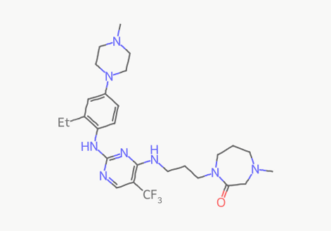 CCc1cc(N2CCN(C)CC2)ccc1Nc1ncc(C(F)(F)F)c(NCCCN2CCCN(C)CC2=O)n1